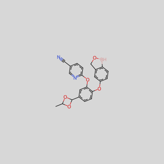 CC1OC(c2ccc(Oc3ccc4c(c3)COB4)c(Oc3ccc(C#N)cn3)c2)O1